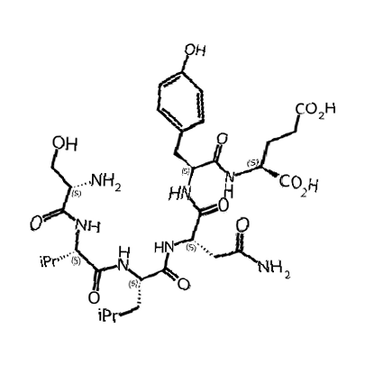 CC(C)C[C@H](NC(=O)[C@@H](NC(=O)[C@@H](N)CO)C(C)C)C(=O)N[C@@H](CC(N)=O)C(=O)N[C@@H](Cc1ccc(O)cc1)C(=O)N[C@@H](CCC(=O)O)C(=O)O